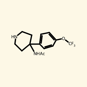 CC(=O)NC1(c2ccc(OC(F)(F)F)cc2)CCNCC1